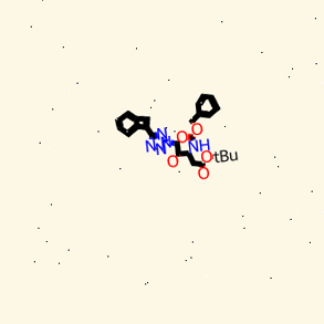 CC(C)(C)OC(=O)CC(NC(=O)OCc1ccccc1)C(=O)Cn1nnc(C2=Cc3ccccc32)n1